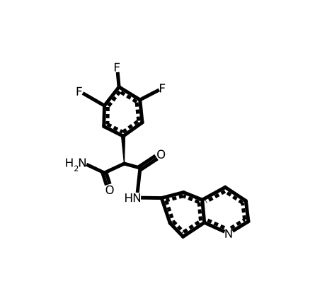 NC(=O)[C@H](C(=O)Nc1ccc2ncccc2c1)c1cc(F)c(F)c(F)c1